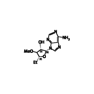 CC[C@H]1O[C@@H](n2cnc3c(N)ncnc32)[C@@H](O)C1OC